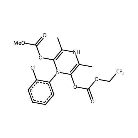 COC(=O)OC1=C(C)NC(C)=C(OC(=O)OCC(F)(F)F)N1c1ccccc1Cl